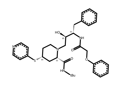 CC(C)(C)NC(=O)[C@@H]1C[C@H](Sc2ccncc2)CCN1C[C@@H](O)[C@H](Cc1ccccc1)NC(=O)COc1ccccc1